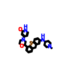 CN1CCC(Nc2ccc3c(c2)Cc2cccc(C4CN(c5cc[nH]c(=O)c5)CCO4)c2S3)CC1